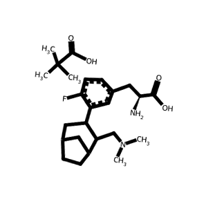 CC(C)(C)C(=O)O.CN(C)CC1C2CCC(C2)CC1c1cc(C[C@H](N)C(=O)O)ccc1F